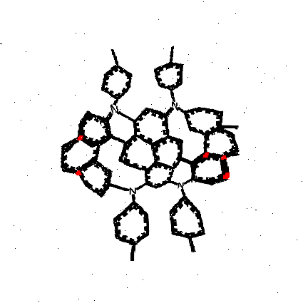 Cc1ccc(N(c2ccc(C)cc2)c2cc(N(c3ccc(C)cc3)c3ccc(C)cc3)c3c(-c4nccc5ccccc45)cc4c(N(c5ccc(C)cc5)c5ccc(C)cc5)cc(N(c5ccc(C)cc5)c5ccc(C)cc5)c5c(-c6nccc7ccccc67)cc2c3c45)cc1